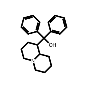 OC(c1ccccc1)(c1ccccc1)C1CCCN2CCCCC12